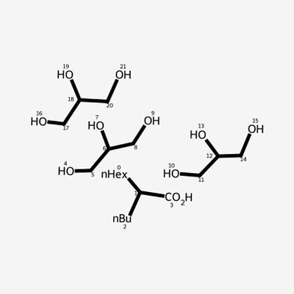 CCCCCCC(CCCC)C(=O)O.OCC(O)CO.OCC(O)CO.OCC(O)CO